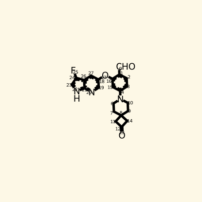 O=Cc1ccc(N2CCC3(CC2)CC(=O)C3)cc1Oc1cnc2[nH]cc(F)c2c1